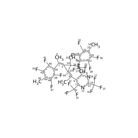 C/C(=C1/C(=C(\C)c2c(C(F)(F)F)nc(C(F)(F)F)nc2C(F)(F)F)C1(C)C(C)c1c(F)c(F)c(C)c(F)c1F)c1c(F)c(F)c(C)c(F)c1F